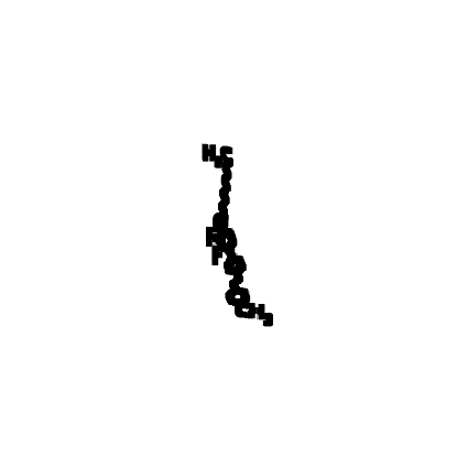 CCCCCCCCCCOc1ccc(-c2ccc(CCC3CCC(C)CC3)cc2)c(F)c1F